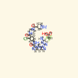 CN(C)c1ccnc(-n2ncc(Cc3cnc(C(=O)Nc4ccc(C(=O)N5CCN(C(=O)C6CCNCC6)CC5)c(Cl)c4)[nH]3)c2C(F)(F)F)n1.O=C(O)C(F)(F)F